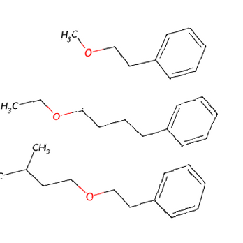 CC(C)CCOCCc1ccccc1.CCO[CH]CCCc1ccccc1.COCCc1ccccc1